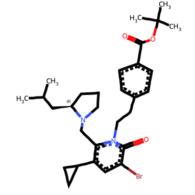 CC(C)C[C@H]1CCCN1Cc1c(C2CC2)cc(Br)c(=O)n1CCc1ccc(C(=O)OC(C)(C)C)cc1